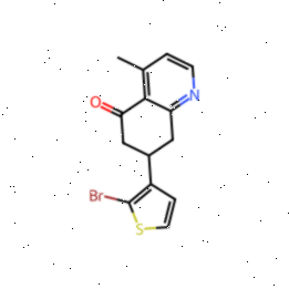 Cc1ccnc2c1C(=O)CC(c1ccsc1Br)C2